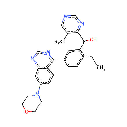 CCc1ccc(-c2ncnc3cc(N4CCOCC4)ccc23)cc1C(O)c1ncncc1C